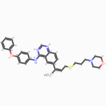 O=C(O)/C(=C/CSCCCN1CCOCC1)c1ccc2ncnc(Nc3ccc(Oc4ccccc4)cc3)c2c1